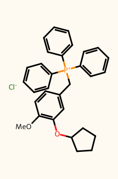 COc1ccc(C[P+](c2ccccc2)(c2ccccc2)c2ccccc2)cc1OC1CCCC1.[Cl-]